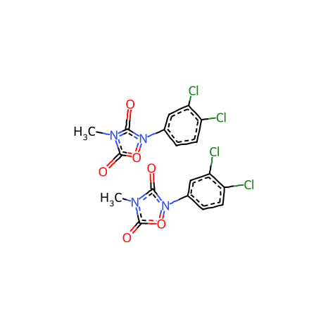 Cn1c(=O)on(-c2ccc(Cl)c(Cl)c2)c1=O.Cn1c(=O)on(-c2ccc(Cl)c(Cl)c2)c1=O